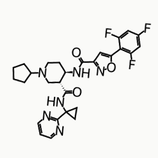 O=C(N[C@@H]1CCN(C2CCCC2)C[C@H]1C(=O)NC1(c2ncccn2)CC1)c1cc(-c2c(F)cc(F)cc2F)on1